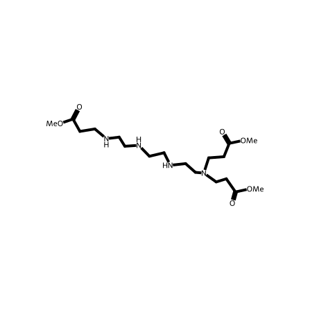 COC(=O)CCNCCNCCNCCN(CCC(=O)OC)CCC(=O)OC